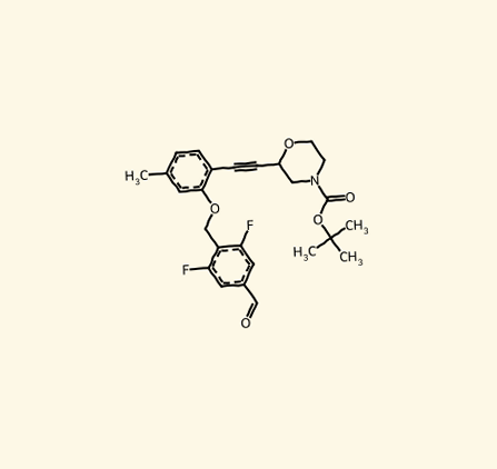 Cc1ccc(C#CC2CN(C(=O)OC(C)(C)C)CCO2)c(OCc2c(F)cc(C=O)cc2F)c1